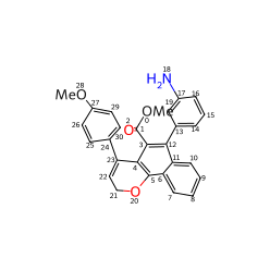 COC(=O)c1c2c(c3ccccc3c1-c1cccc(N)c1)OCC=C2c1ccc(OC)cc1